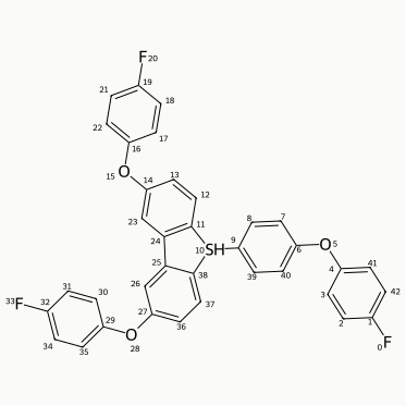 Fc1ccc(Oc2ccc([SH]3c4ccc(Oc5ccc(F)cc5)cc4-c4cc(Oc5ccc(F)cc5)ccc43)cc2)cc1